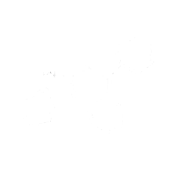 c1ccc(-c2cc3[nH]c4ccccc4c3c3ccccc23)cc1